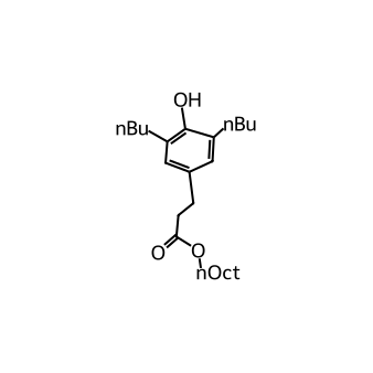 CCCCCCCCOC(=O)CCc1cc(CCCC)c(O)c(CCCC)c1